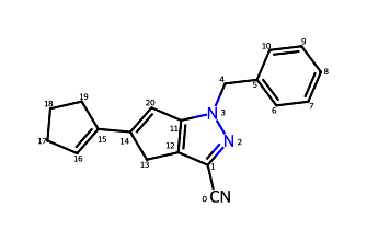 N#Cc1nn(Cc2ccccc2)c2c1CC(C1=CCCC1)=C2